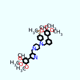 COc1cc(-c2cncc(CN3CCC(N(Cc4cccc(-c5cc(OC)c(OC)c(OC)c5)c4)c4ccc(SC)cc4)CC3)c2)cc(OC)c1OC